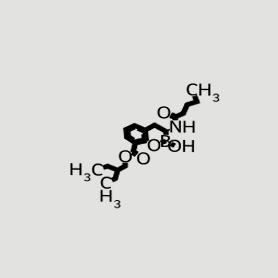 CCCCC(=O)N[C@H]1Cc2cccc(C(=O)OCC(CC)CC)c2OB1O